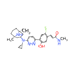 CNC(=O)/C=C/c1cc(O)c(-c2ccc(N(C3CC3)[C@@H]3C[C@]4(C)CCC[C@](C)(C3)N4)nn2)cc1F